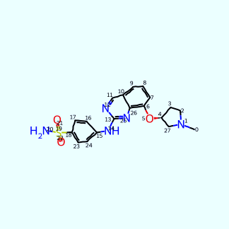 CN1CC[C@H](Oc2cccc3cnc(Nc4ccc(S(N)(=O)=O)cc4)nc23)C1